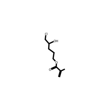 C=C(C)C(=O)OC[CH]CC(O)CCl